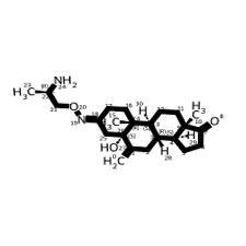 C=C1C[C@H]2[C@@H]3CCC(=O)[C@@]3(C)CC[C@@H]2[C@@]2(C)CCC(=NOC[C@@H](C)N)C[C@]12O